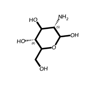 N[C@@H]1C(O)OC(CO)[C@H](O)C1O